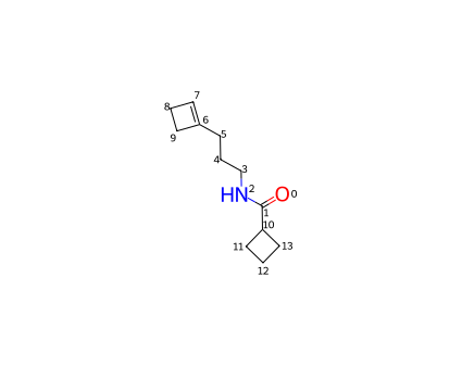 O=C(NCCCC1=CCC1)C1CCC1